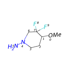 COC1CCN(N)CC1(F)F